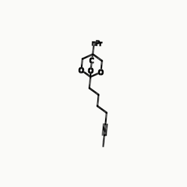 CC#CCCCCC12OCC(CCC)(CO1)CO2